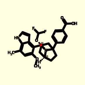 COc1cc(C)c2[nH]ccc2c1CN1[C@H]2CCC1(c1ccc(C(=O)O)cc1)C[C@@H](OC(F)F)C2